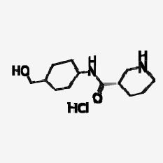 Cl.O=C(NC1CCC(CO)CC1)[C@H]1CCCNC1